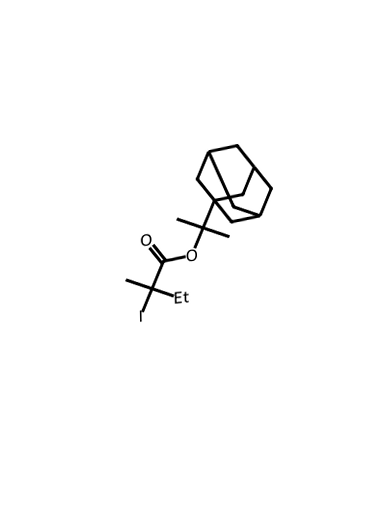 CCC(C)(I)C(=O)OC(C)(C)C12CC3CC(CC(C3)C1)C2